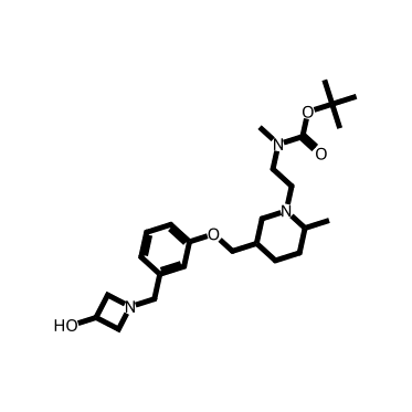 CC1CCC(COc2cccc(CN3CC(O)C3)c2)CN1CCN(C)C(=O)OC(C)(C)C